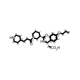 O=C(O)C[C@H](NC(=O)[C@@H]1CCCN(C(=O)CCC2CCNCC2)C1)c1ccc(OCCF)cc1